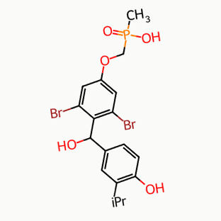 CC(C)c1cc(C(O)c2c(Br)cc(OCP(C)(=O)O)cc2Br)ccc1O